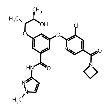 C[C@@H](O)[C@@H](C)Oc1cc(Oc2ncc(C(=O)N3CCC3)cc2Cl)cc(C(=O)Nc2ccn(C)n2)c1